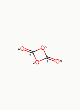 O=C1OC(=O)O1